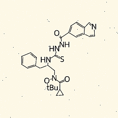 CC(C)(C)ON(CC(Cc1ccccc1)NC(=S)NNC(=O)c1ccc2cnccc2c1)C(=O)C1CC1